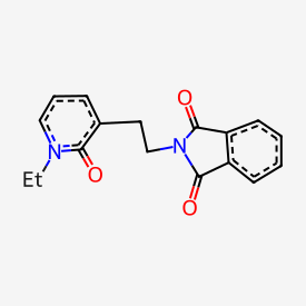 CCn1cccc(CCN2C(=O)c3ccccc3C2=O)c1=O